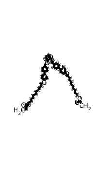 C=CC(=O)OCCCCCCCCCCCOc1ccc(-c2ccc(COC3OCCOC3OCc3ccc(-c4ccc(OCCCCCCCCCCCOC(=O)C=C)cn4)cc3)cc2)nc1